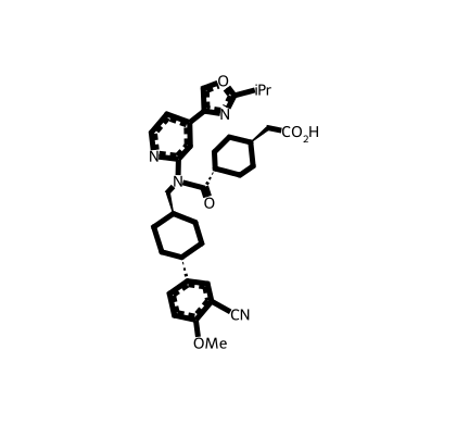 COc1ccc([C@H]2CC[C@H](CN(c3cc(-c4coc(C(C)C)n4)ccn3)C(=O)[C@H]3CC[C@H](CC(=O)O)CC3)CC2)cc1C#N